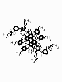 C=CC(=O)OC1CCCC(NC(=O)C(CCOCC)N2C(=O)c3cc(Oc4ccc(C)cc4C)c4c5c(Oc6ccc(C)cc6C)cc6c7c(cc(Oc8ccc(C)cc8C)c(c8c(Oc9ccc(C)cc9C)cc(c3c48)C2=O)c75)C(=O)N(C(CCOCC)C(=O)NC2CCCC(OC(=O)C=C)C2)C6=O)C1